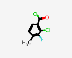 Cc1ccc(C(=O)Cl)c(Cl)c1F